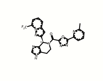 Cc1cccc(-c2nnc(C(=O)N3CCc4[nH]cnc4[C@H]3c3cc4cccc(C(F)(F)F)n4n3)o2)n1